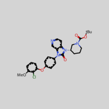 COc1cccc(Oc2ccc(-n3c(=O)n([C@H]4CCCN(C(=O)OC(C)(C)C)C4)c4ccncc43)cc2)c1Cl